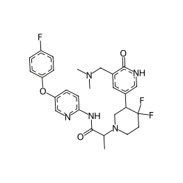 CC(C(=O)Nc1ccc(Oc2ccc(F)cc2)cn1)N1CCC(F)(F)C(c2c[nH]c(=O)c(CN(C)C)c2)C1